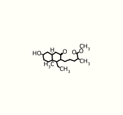 CCC1C(CCCC(C)C(=O)OC)C(=O)C[C@@H]2C[C@H](O)CC[C@]12C